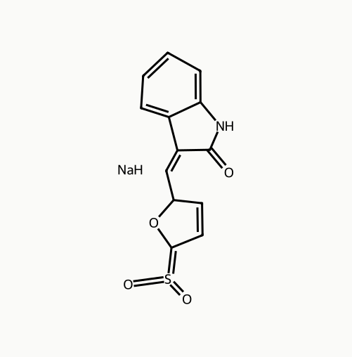 O=C1Nc2ccccc2C1=CC1C=CC(=S(=O)=O)O1.[NaH]